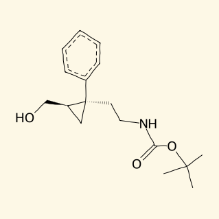 CC(C)(C)OC(=O)NCC[C@]1(c2ccccc2)C[C@H]1CO